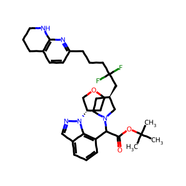 CC(C)(C)OC(=O)C(c1cccc2cnn([C@H]3CCOC3)c12)N1CC[C@@H](CC(F)(F)CCCc2ccc3c(n2)NCCC3)C1